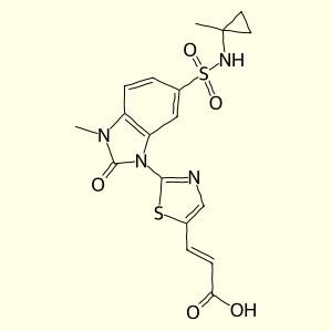 Cn1c(=O)n(-c2ncc(/C=C/C(=O)O)s2)c2cc(S(=O)(=O)NC3(C)CC3)ccc21